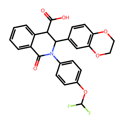 O=C(O)C1c2ccccc2C(=O)N(c2ccc(OC(F)F)cc2)C1c1ccc2c(c1)OCCO2